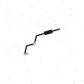 CC#CCOCCCC